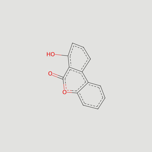 O=c1oc2ccccc2c2cccc(O)c12